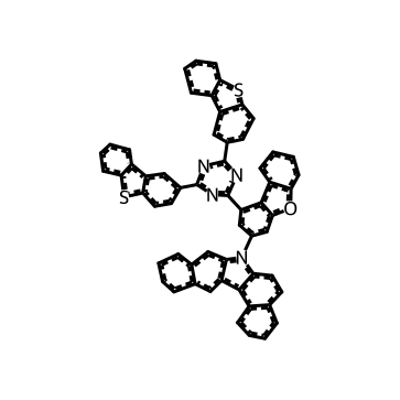 c1ccc2cc3c(cc2c1)c1c2ccccc2ccc1n3-c1cc(-c2nc(-c3ccc4sc5ccccc5c4c3)nc(-c3ccc4sc5ccccc5c4c3)n2)c2c(c1)oc1ccccc12